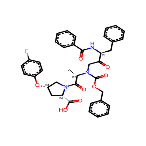 C[C@@H](C(=O)N1C[C@@H](Oc2ccc(F)cc2)C[C@H]1C(=O)O)N(CC(=O)[C@H](Cc1ccccc1)NC(=O)c1ccccc1)C(=O)OCc1ccccc1